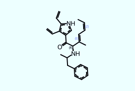 C=Cc1[nH]cc(C(=O)[C@H](NC(C)Cc2ccccc2)/C(C)=C/C=C\C)c1C=C